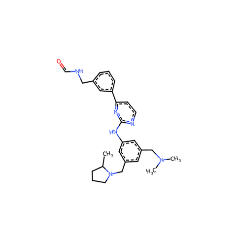 CC1CCCN1Cc1cc(CN(C)C)cc(Nc2nccc(-c3cccc(CNC=O)c3)n2)c1